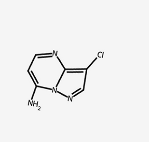 Nc1ccnc2c(Cl)cnn12